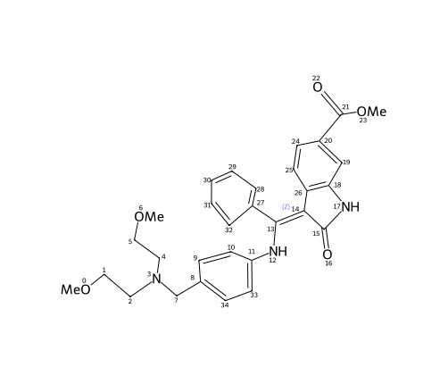 COCCN(CCOC)Cc1ccc(N/C(=C2\C(=O)Nc3cc(C(=O)OC)ccc32)c2ccccc2)cc1